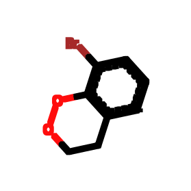 Brc1cc[c]c2c1OOCC2